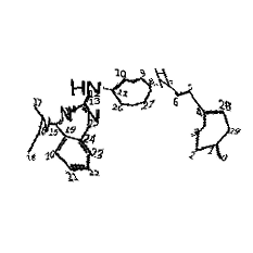 CC1CCC(CCN[C@H]2CC[C@@H](Nc3nc(N(C)C)c4ccccc4n3)CC2)CC1